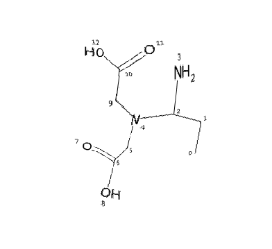 CCC(N)N(CC(=O)O)CC(=O)O